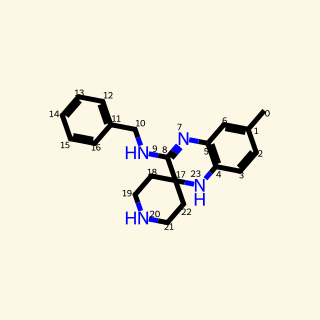 Cc1ccc2c(c1)N=C(NCc1ccccc1)C1(CCNCC1)N2